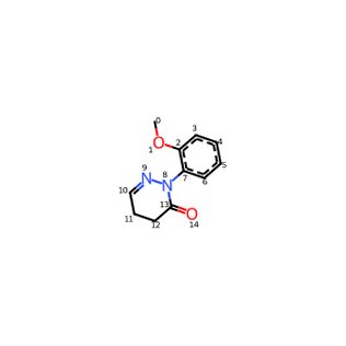 COc1ccccc1N1N=CCCC1=O